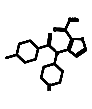 COC(=O)c1sccc1N(C(=O)C1CCC(C)CC1)C1CCNCC1